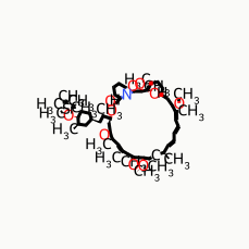 CO[C@H]1C[C@@H]2CC[C@@H](C)C(C)(O2)C(=O)C(=O)N2CCCC[C@H]2C(=O)O[C@H]([C@H](C)C[C@@H]2CC[C@@H](O[Si](C)(C)C(C)(C)C)[C@H](C)C2)CC(=O)[C@H](C)/C=C(\C)[C@@H](C)[C@@H](OC)C(=O)[C@H](C)C[C@H](C)/C=C/C=C/C=C/1C